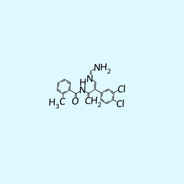 C=C(NC(=O)c1ccccc1C)/C(=C\N=C/N)c1ccc(Cl)c(Cl)c1